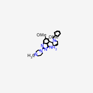 COc1cc2nc(N3CCCN(C)CC3)nc(N)c2c(C2CC#CCN2Cc2ccccc2)c1OC